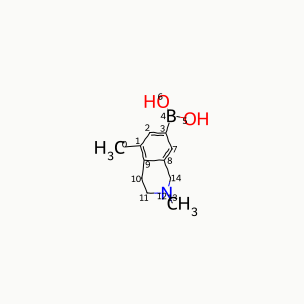 Cc1cc(B(O)O)cc2c1CCN(C)C2